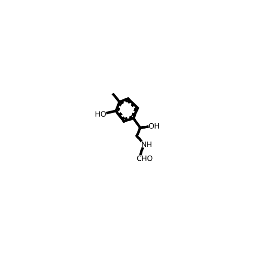 Cc1ccc(C(O)CNC=O)cc1O